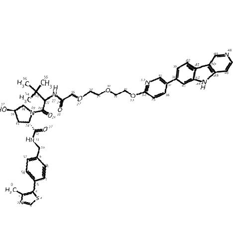 Cc1ncsc1-c1ccc(CNC(=O)[C@@H]2C[C@@H](O)CN2C(=O)C(NC(=O)COCCOCCOc2ccc(-c3ccc4c(c3)[nH]c3ccncc34)cn2)C(C)(C)C)cc1